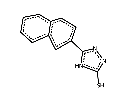 Sc1nnc(-c2ccc3ccccc3c2)[nH]1